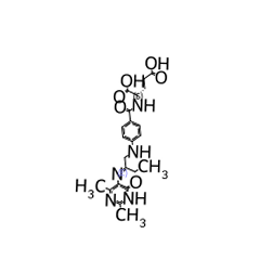 CC/C(CNc1ccc(C(=O)N[C@@H](CCC(=O)O)C(=O)O)cc1)=N\c1c(C)nc(C)[nH]c1=O